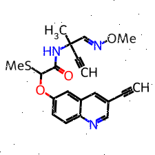 C#Cc1cnc2ccc(OC(SC)C(=O)NC(C)(C#C)C=NOC)cc2c1